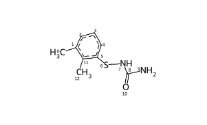 Cc1cccc(SNC(N)=O)c1C